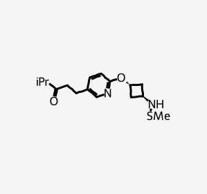 CSN[C@H]1C[C@H](Oc2ccc(CCC(=O)C(C)C)cn2)C1